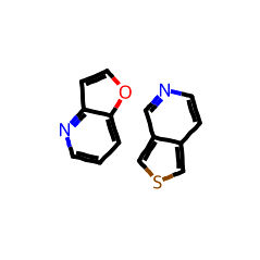 c1cc2cscc2cn1.c1cnc2ccoc2c1